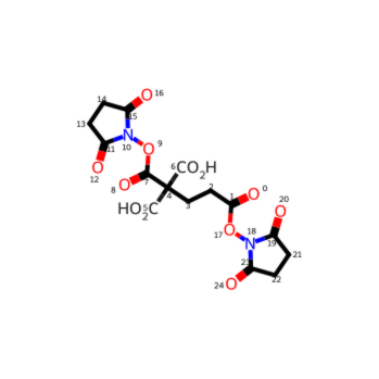 O=C(CCC(C(=O)O)(C(=O)O)C(=O)ON1C(=O)CCC1=O)ON1C(=O)CCC1=O